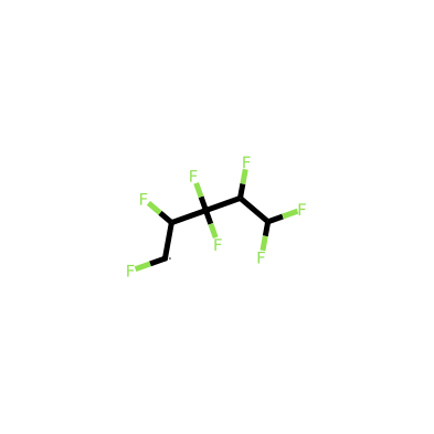 F[CH]C(F)C(F)(F)C(F)C(F)F